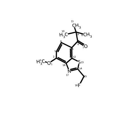 COc1ccc(C(=O)C(C)(C)C)c2sc(CF)nc12